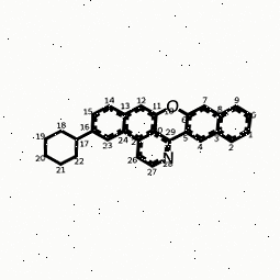 c1ccc2cc3c(cc2c1)Oc1cc2ccc(C4CCCCC4)cc2c2ccnc-3c12